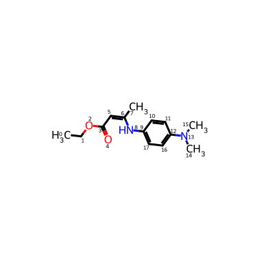 CCOC(=O)/C=C(/C)Nc1ccc(N(C)C)cc1